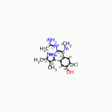 C=N/C(=C(\N=C(/C)N)n1cc(C)c(C)n1)c1ccc(O)c(Cl)c1